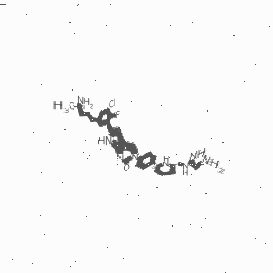 C[C@H](N)CCCc1cc(Cl)c(F)c(-c2cc3cn(-c4ccc([C@@H]5CCC[C@@H](CNC(=N)CN)N5)cc4)c(=O)nc3[nH]2)c1